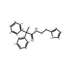 CC(C(=O)NCCc1cccs1)(c1ccccc1)c1ccccc1